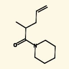 C=CCC(C)C(=O)N1CCCCC1